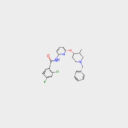 CC1CN(Cc2ccccc2)CCC1Oc1cccc(NC(=O)c2ccc(F)cc2Cl)n1